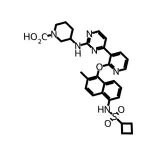 Cc1ccc2c(NS(=O)(=O)C3CCC3)cccc2c1Oc1ncccc1-c1ccnc(NC2CCCN(C(=O)O)C2)n1